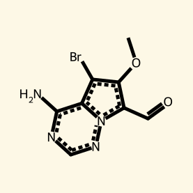 COc1c(Br)c2c(N)ncnn2c1C=O